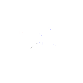 CCC[C@@H](CCO)Nc1nc(C)nc2ccn(CC3CCC3)c12